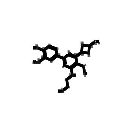 CCOc1c(NCCO)nc(-c2ccc(O)c(OC)c2)nc1C1OC(C)O1